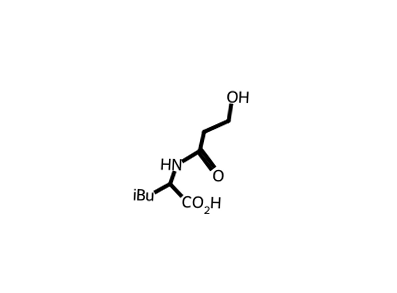 CCC(C)C(NC(=O)CCO)C(=O)O